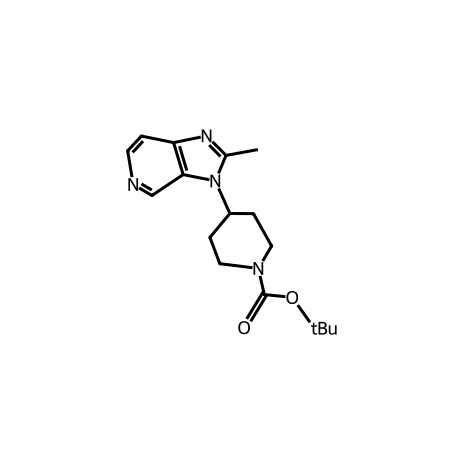 Cc1nc2ccncc2n1C1CCN(C(=O)OC(C)(C)C)CC1